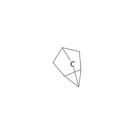 C1C2CC3C1C3C2